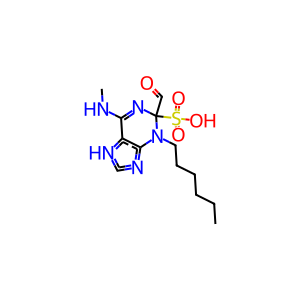 CCCCCCN1c2nc[nH]c2C(NC)=NC1(C=O)S(=O)(=O)O